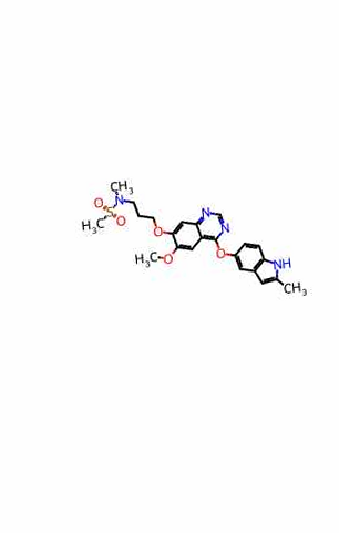 COc1cc2c(Oc3ccc4[nH]c(C)cc4c3)ncnc2cc1OCCCN(C)S(C)(=O)=O